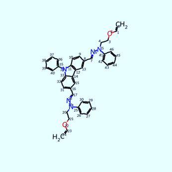 C=COCCN(/N=C/c1ccc2c(c1)c1cc(/C=N/N(CCOC=C)c3ccccc3)ccc1n2-c1ccccc1)c1ccccc1